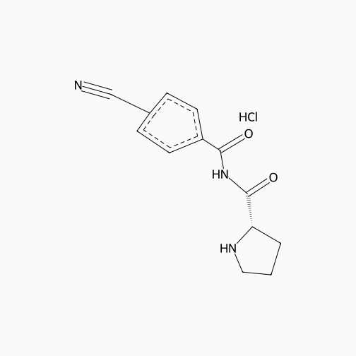 Cl.N#Cc1ccc(C(=O)NC(=O)[C@@H]2CCCN2)cc1